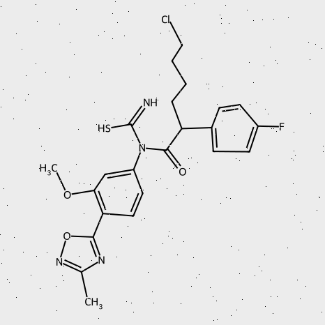 COc1cc(N(C(=N)S)C(=O)C(CCCCCl)c2ccc(F)cc2)ccc1-c1nc(C)no1